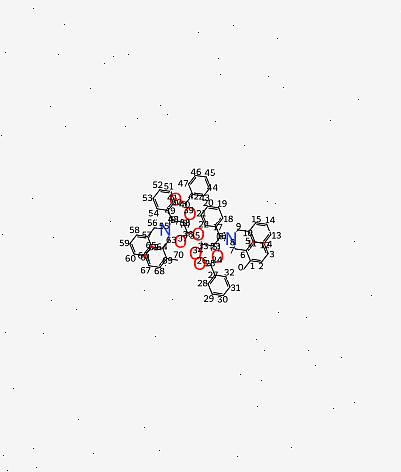 Cc1ccccc1CN(Cc1ccccc1)[C@@H](c1ccccc1)[C@H](OC(=O)c1ccccc1)C(=O)OC(=O)[C@@H](OC(=O)c1ccccc1)[C@H](c1ccccc1)N(Cc1ccccc1)Cc1ccccc1C